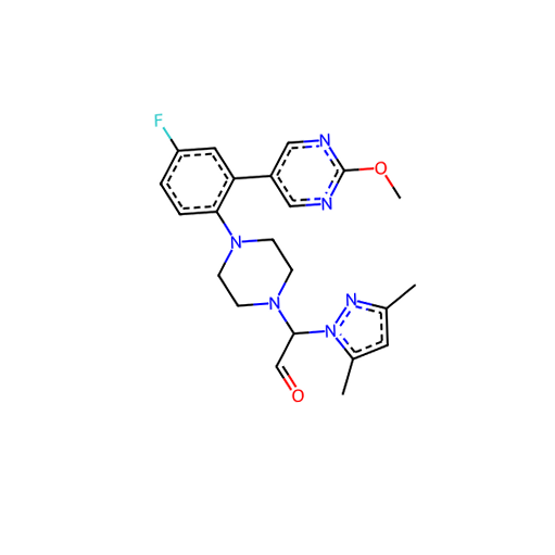 COc1ncc(-c2cc(F)ccc2N2CCN(C(C=O)n3nc(C)cc3C)CC2)cn1